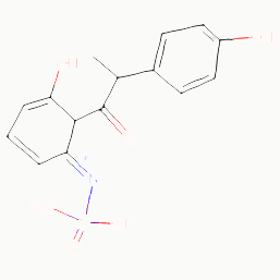 CC(C(=O)C1C(O)=CC=C/C1=N\P(=O)(O)O)c1ccc(O)cc1